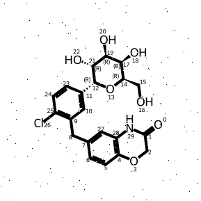 O=C1COc2ccc(Cc3cc([C@H]4O[C@H](CO)[C@H](O)[C@H](O)[C@H]4O)ccc3Cl)cc2N1